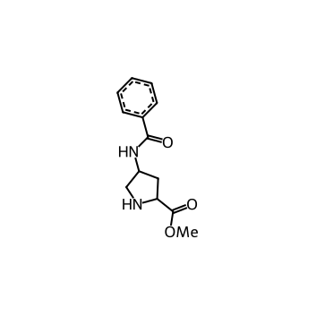 COC(=O)C1CC(NC(=O)c2ccccc2)CN1